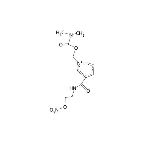 CN(C)C(=O)OC[n+]1cccc(C(=O)NCCO[N+](=O)[O-])c1